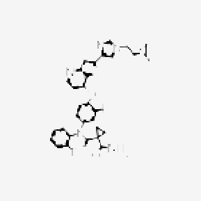 CN(C)CCn1cnc(-c2cc3nccc(Oc4ccc(N(C(=O)C5(C(N)=O)CC5)c5ccccc5F)cc4F)c3s2)c1